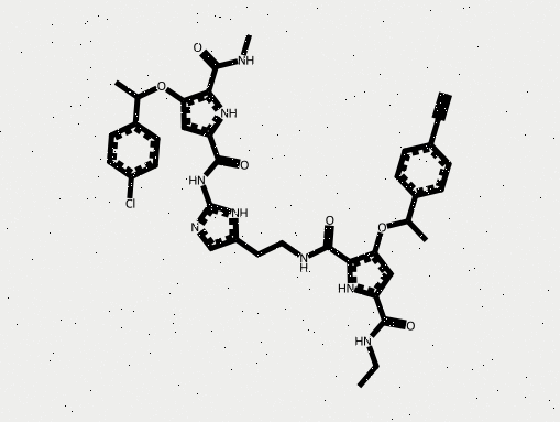 C#Cc1ccc(C(C)Oc2cc(C(=O)NCC)[nH]c2C(=O)NCCc2cnc(NC(=O)c3cc(OC(C)c4ccc(Cl)cc4)c(C(=O)NC)[nH]3)[nH]2)cc1